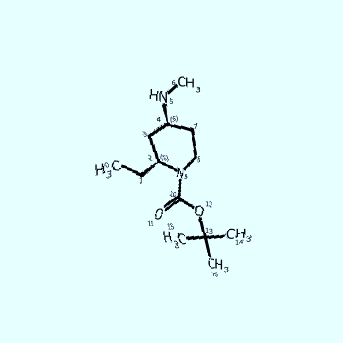 CC[C@H]1C[C@@H](NC)CCN1C(=O)OC(C)(C)C